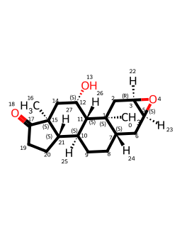 C[C@]12C[C@H]3O[C@H]3C[C@@H]1CC[C@@H]1[C@@H]2[C@@H](O)C[C@]2(C)C(=O)CC[C@@H]12